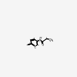 Cc1ccc(NC(=O)CC#N)cn1